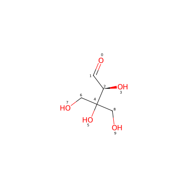 O=C[C@@H](O)C(O)(CO)CO